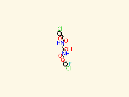 O=C(COc1ccc(Cl)c(F)c1)NC[C@@H](O)CCNC(=O)c1cc2cc(Cl)ccc2o1